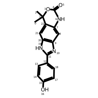 CC1(C)OC(=O)Nc2cc3nc(-c4ccc(O)cc4)[nH]c3cc21